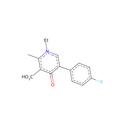 CCn1cc(-c2ccc(F)cc2)c(=O)c(C(=O)O)c1C